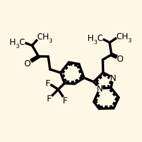 CC(C)C(=O)CCc1ccc(-c2c(CC(=O)C(C)C)nc3ccccn23)cc1C(F)(F)F